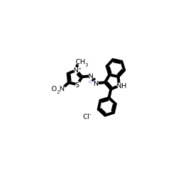 C[n+]1cc([N+](=O)[O-])sc1/N=N/c1c(-c2ccccc2)[nH]c2ccccc12.[Cl-]